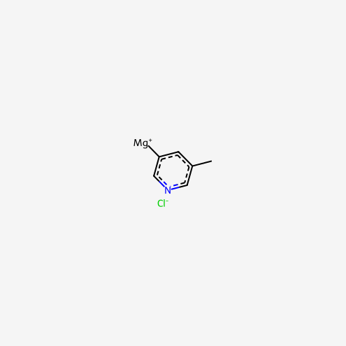 Cc1cnc[c]([Mg+])c1.[Cl-]